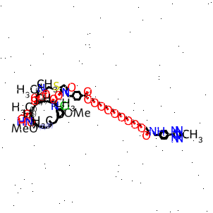 COc1cc2cc(c1Cl)N(C)C(=O)C[C@@H](OC(=O)[C@H](C)N(C)C(=O)CCSC1CC(=O)N(CC3CCC(C(=O)OCOCOCOCOCOCOCOCOCC(=O)NCc4ccc(-c5nnc(C)nn5)cc4)CC3)C1=O)[C@]1(C)OC1[C@H](C)[C@@H]1C[C@@](O)(NC(=O)O1)[C@H](OC)/C=C\C=C(/C)C2